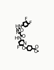 COC(=O)C1CCC(Oc2ncc(NC(=O)c3nnc(Nc4ccc(F)c(F)c4)o3)cc2F)CC1